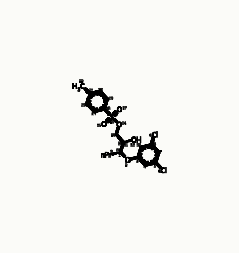 CCC[C@H](Oc1cc(Cl)cc(Cl)c1)[C@H](O)COS(=O)(=O)c1ccc(C)cc1